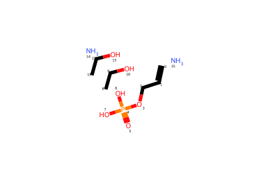 C=CCOP(=O)(O)O.CCO.CCO.N.N